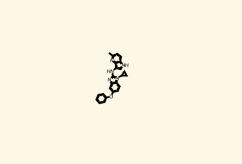 Cc1ccc2[nH]cc(Nc3nc4cc(Oc5ccccc5)ccc4n3C3CC3)c2n1